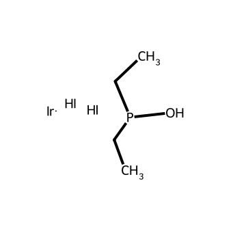 CCP(O)CC.I.I.[Ir]